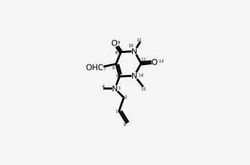 C=CCN(C)c1c(C=O)c(=O)n(C)c(=O)n1C